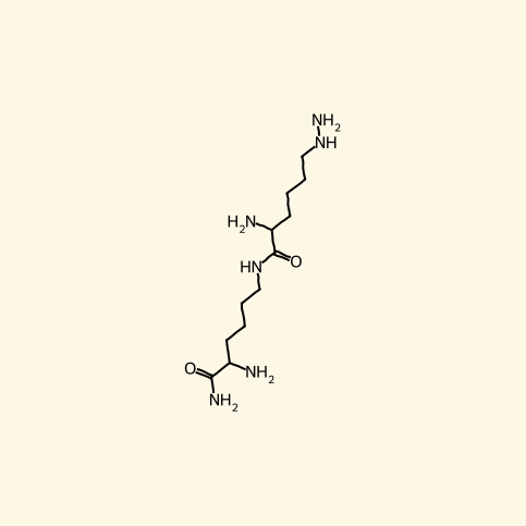 NNCCCCC(N)C(=O)NCCCCC(N)C(N)=O